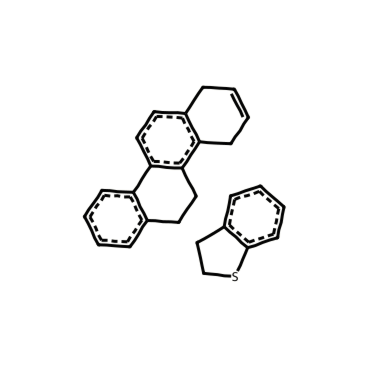 C1=CCc2c(ccc3c2CCc2ccccc2-3)C1.c1ccc2c(c1)CCS2